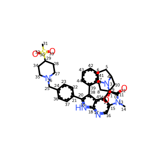 CC(=O)N1C2CCC1CC1(C2)C(=O)N(C)c2cnc3[nH]c(-c4ccc(CN5CCC(S(C)(=O)=O)CC5)cc4)c(-c4ccccc4)c3c21